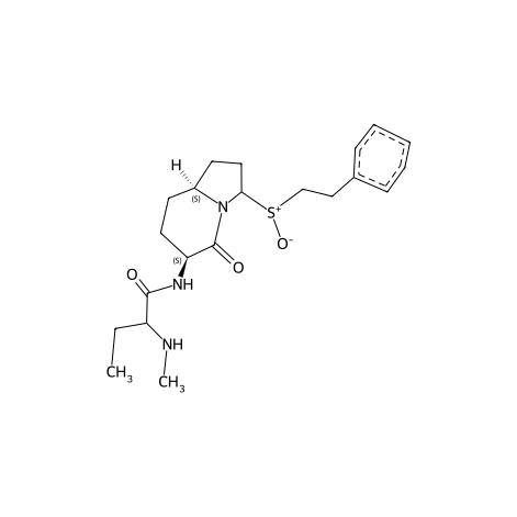 CCC(NC)C(=O)N[C@H]1CC[C@H]2CCC([S+]([O-])CCc3ccccc3)N2C1=O